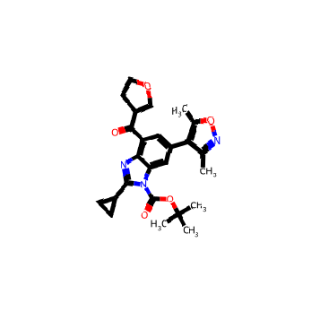 Cc1noc(C)c1-c1cc(C(=O)C2CCOC2)c2nc(C3CC3)n(C(=O)OC(C)(C)C)c2c1